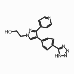 OCCn1cc(-c2ccc(-c3nnn[nH]3)cc2)c(-c2ccncc2)n1